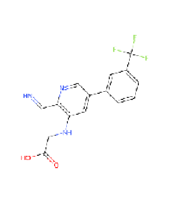 N=Cc1ncc(-c2cccc(C(F)(F)F)c2)cc1NCC(=O)O